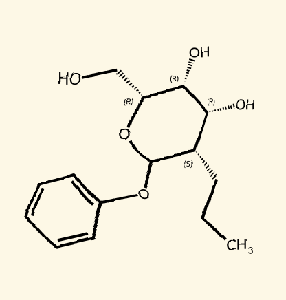 CCC[C@@H]1C(Oc2ccccc2)O[C@H](CO)[C@H](O)[C@@H]1O